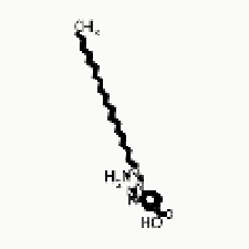 CCCCCCCCCCCCCCCCC=CCCCN(N)Cn1nnc2cc(C(=O)O)ccc21